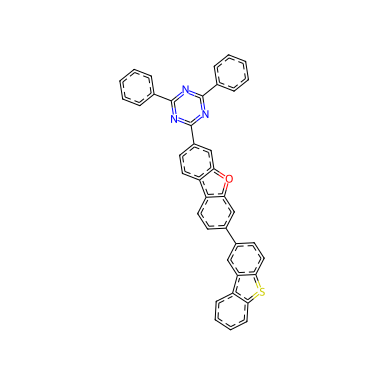 c1ccc(-c2nc(-c3ccccc3)nc(-c3ccc4c(c3)oc3cc(-c5ccc6sc7ccccc7c6c5)ccc34)n2)cc1